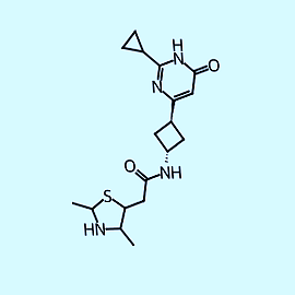 CC1NC(C)C(CC(=O)N[C@H]2C[C@H](c3cc(=O)[nH]c(C4CC4)n3)C2)S1